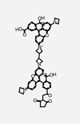 O=C(O)c1ccc(C(=O)O)c(-c2c3ccc(=[N+]4CC(C5CN(c6ccc7c(-c8cc(C(=O)CC9C(=O)CCC9=O)ccc8C(=O)O)c8ccc(=[N+]9CCC9)cc-8oc7c6)C5)C4)cc-3oc3cc(N4CCC4)ccc23)c1